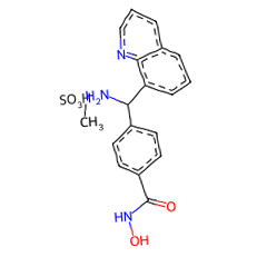 CS(=O)(=O)O.NC(c1ccc(C(=O)NO)cc1)c1cccc2cccnc12